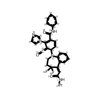 CC(C)NC(=O)C=C1c2ccccc2N(C2C=CC(C(=O)Nc3ccccc3)=C(n3ccnc3)C2=C=O)CCC1(F)F